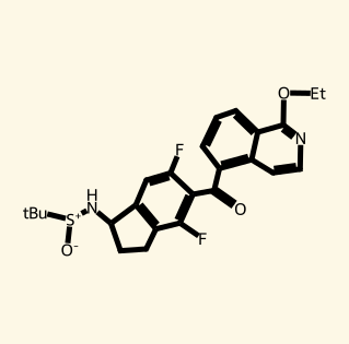 CCOc1nccc2c(C(=O)c3c(F)cc4c(c3F)CCC4N[S+]([O-])C(C)(C)C)cccc12